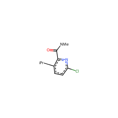 CNC(=O)c1nc(Cl)ccc1C(C)C